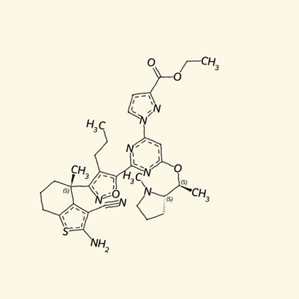 CCCc1c([C@@]2(C)CCCc3sc(N)c(C#N)c32)noc1-c1nc(O[C@@H](C)[C@@H]2CCCN2C)cc(-n2ccc(C(=O)OCC)n2)n1